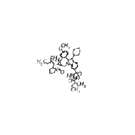 CC[C@@H](C)S(=O)(=O)NC(=O)c1ccc2c(C3CCCCC3)c3n(c2c1)C[C@@]1(C(=O)N2CCCC2CN(C)CC)C[C@H]1c1cc(OC)ccc1-3